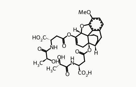 COc1ccc2c3c1O[C@H]1C(OC(=O)C[C@H](NC(=O)[C@H](C)O)C(=O)O)=CC[C@@]4(OC(=O)C[C@H](NC(=O)[C@H](C)O)C(=O)O)[C@H](CCC[C@]314)C2